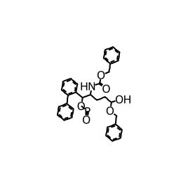 O=POC(c1ccccc1-c1ccccc1)C(CCC(O)OCc1ccccc1)NC(=O)OCc1ccccc1